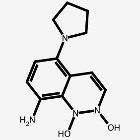 Nc1ccc(N2CCCC2)c2c1N(O)N(O)C=C2